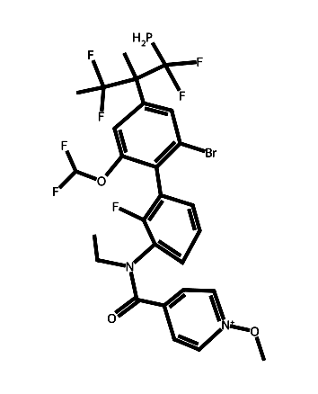 CCN(C(=O)c1cc[n+](OC)cc1)c1cccc(-c2c(Br)cc(C(C)(C(C)(F)F)C(F)(F)P)cc2OC(F)F)c1F